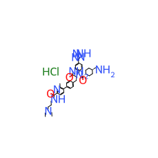 CCN(CC)CCCNC(=O)c1ccc(-c2ccc(C[C@@H](C(N)=O)N(c3ccc(-c4nn[nH]n4)cc3)C(=O)[C@H]3CC[C@H](CN)CC3)cc2)c(C)n1.Cl